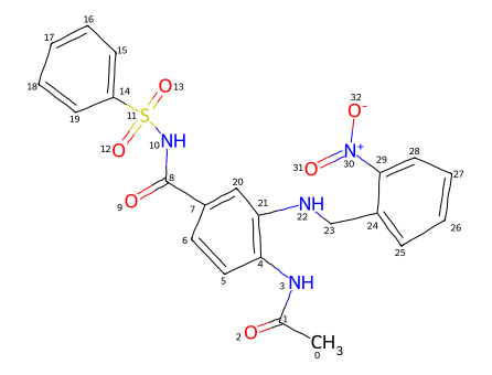 CC(=O)Nc1ccc(C(=O)NS(=O)(=O)c2ccccc2)cc1NCc1ccccc1[N+](=O)[O-]